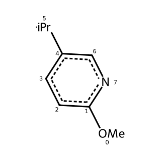 COc1ccc([C](C)C)cn1